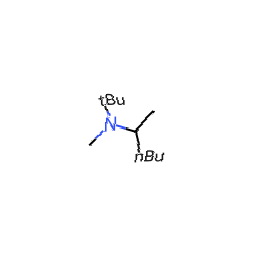 CCCCC(C)N(C)C(C)(C)C